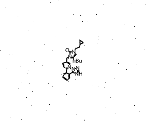 CCCCc1cn(CCC2CC2)c(=O)n1Cc1ccc(-c2ccccc2-c2nnn[nH]2)nc1